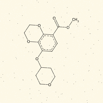 COC(=O)c1ccc(OC2CCOCC2)c2c1OCCO2